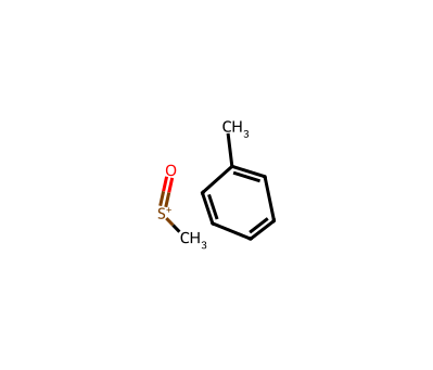 C[S+]=O.Cc1ccccc1